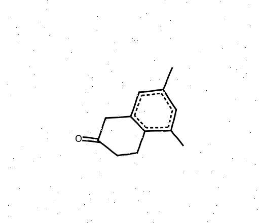 Cc1cc(C)c2c(c1)CC(=O)CC2